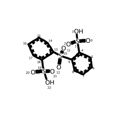 O=S(=O)(O)c1ccccc1S(=O)(=O)c1ccccc1S(=O)(=O)O